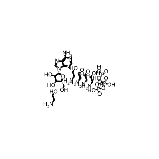 NCCO.NCCO.NCCO.NCCO.NCCO.Nc1ncnc2c1ncn2[C@@H]1O[C@H](CO)[C@@H](O)[C@H]1O.O=P(O)(O)OP(=O)(O)OP(=O)(O)O